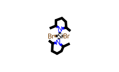 CC1CCCC(C)N1[Si](Br)(Br)N1C(C)CCCC1C